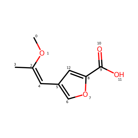 COC(C)=Cc1coc(C(=O)O)c1